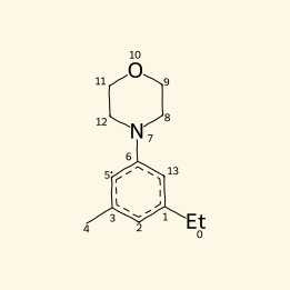 CCc1cc(C)[c]c(N2CCOCC2)c1